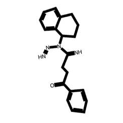 N=NN(C(=N)CCC(=O)c1ccccc1)C1CCCc2ccccc21